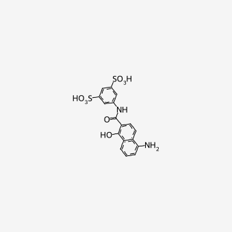 Nc1cccc2c(O)c(C(=O)Nc3cc(S(=O)(=O)O)cc(S(=O)(=O)O)c3)ccc12